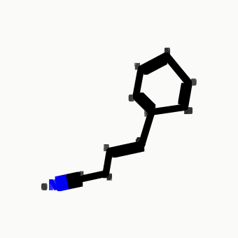 N#C[C]C=Cc1ccccc1